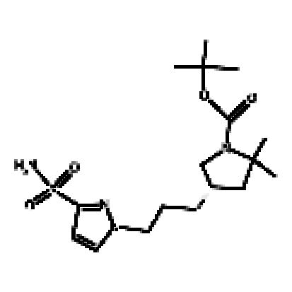 CC(C)(C)OC(=O)N1C[C@@H](CCCn2ccc(S(N)(=O)=O)n2)CC1(C)C